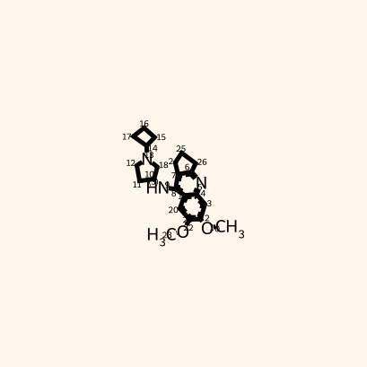 COc1cc2nc3c(c(N[C@H]4CCN(C5CCC5)C4)c2cc1OC)CCC3